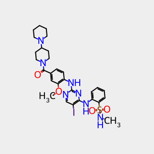 CNS(=O)(=O)c1ccccc1Nc1nc(Nc2ccc(C(=O)N3CCC(N4CCCCC4)CC3)cc2OC)ncc1I